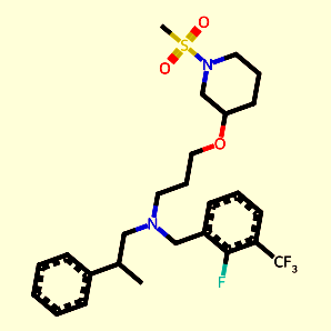 CC(CN(CCCOC1CCCN(S(C)(=O)=O)C1)Cc1cccc(C(F)(F)F)c1F)c1ccccc1